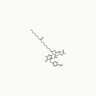 CCCCCCCC(=O)CCCCCC/C=C/[C@H](C(=O)N[C@@H](Cc1ccc(O)cc1)C(=O)OC)[C@@](O)(CCOC(C)=O)C(=O)O